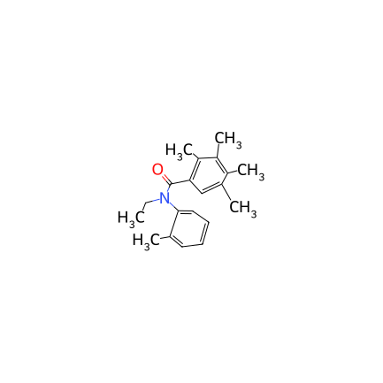 CCN(C(=O)c1cc(C)c(C)c(C)c1C)c1ccccc1C